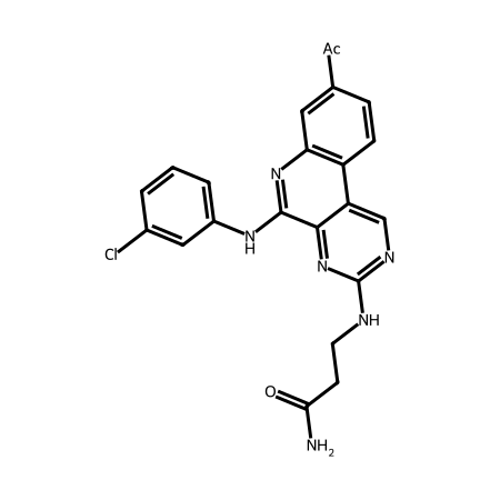 CC(=O)c1ccc2c(c1)nc(Nc1cccc(Cl)c1)c1nc(NCCC(N)=O)ncc12